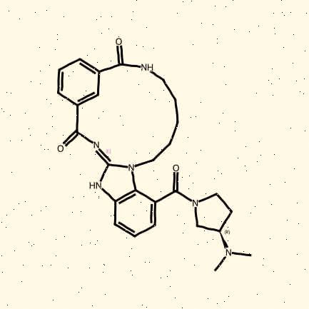 CN(C)[C@@H]1CCN(C(=O)c2cccc3c2N2CCCCCNC(=O)c4cccc(c4)C(=O)/N=C/2N3)C1